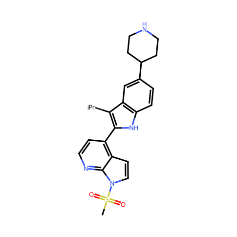 CC(C)c1c(-c2ccnc3c2ccn3S(C)(=O)=O)[nH]c2ccc(C3CCNCC3)cc12